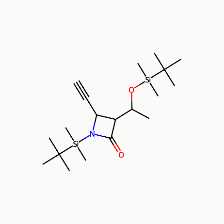 C#CC1C(C(C)O[Si](C)(C)C(C)(C)C)C(=O)N1[Si](C)(C)C(C)(C)C